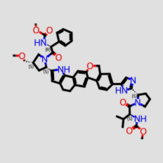 COC[C@H]1C[C@@H](c2cc3c([nH]2)-c2cc4c(cc2CC3)-c2ccc(-c3cnc([C@@H]5CCCN5C(=O)[C@@H](NC(=O)OC)C(C)C)[nH]3)cc2CO4)N(C(=O)[C@H](NC(=O)OC)c2ccccc2)C1